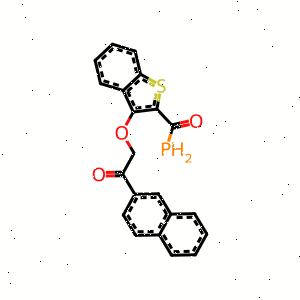 O=C(COc1c(C(=O)P)sc2ccccc12)c1ccc2ccccc2c1